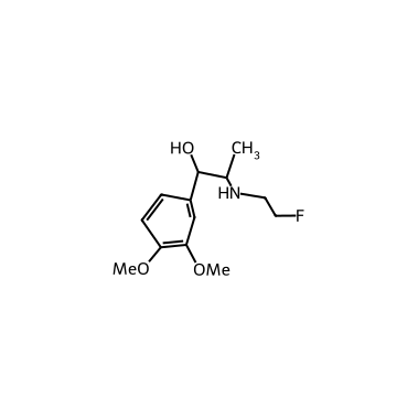 COc1ccc(C(O)C(C)NCCF)cc1OC